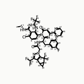 CSNC(=N)c1c(Cl)ccc(-n2c(C(Cc3cc(F)cc(F)c3)NC(=O)Cn3nc(C(F)F)c4c3C(F)(F)C3CC43)nc(-c3ncccn3)cc2=O)c1NCC(F)(F)F